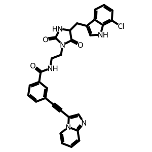 O=C(NCCN1C(=O)NC(Cc2c[nH]c3c(Cl)cccc23)C1=O)c1cccc(C#Cc2cnc3ccccn23)c1